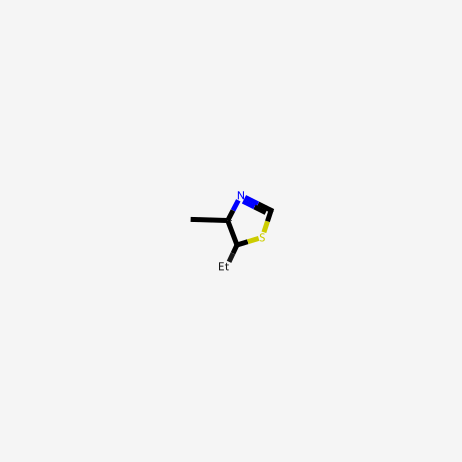 CCC1SC=N[C]1C